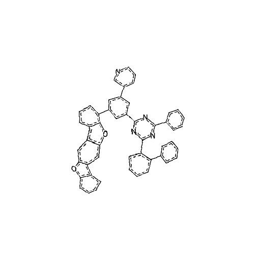 c1ccc(-c2nc(-c3cc(-c4cccnc4)cc(-c4cccc5c4oc4cc6c(cc45)oc4ccccc46)c3)nc(-c3ccccc3-c3ccccc3)n2)cc1